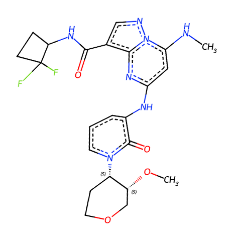 CNc1cc(Nc2cccn([C@H]3CCOC[C@H]3OC)c2=O)nc2c(C(=O)NC3CCC3(F)F)cnn12